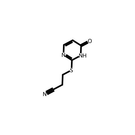 N#CCCSc1nccc(=O)[nH]1